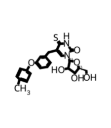 Cc1ccc(Oc2cccc(Cc3cn([C@H]4O[C@@H](CO)C(O)C4O)c(=O)[nH]c3=S)c2)cc1